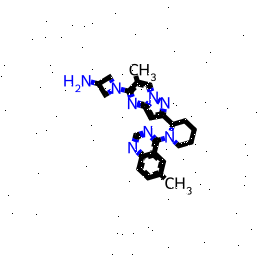 Cc1ccc2ncnc(N3CCCCC3c3cc4nc(N5CC(N)C5)c(C)cn4n3)c2c1